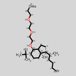 CCC(C)(C)[C@H]1CC[C@@]2(C)C(CC[C@@H]2[C@H](C)CCCC(C)C)[C@@H]1OCCOCCOCCOC